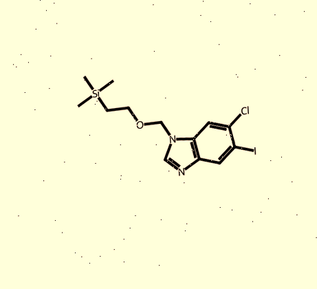 C[Si](C)(C)CCOCn1cnc2cc(I)c(Cl)cc21